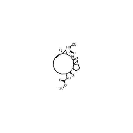 CC(C)(C)OC(=O)N[C@H]1CCCCC/C=C\[C@@H]2C[C@@]2(C(=O)NC#N)NC(=O)[C@@H]2CCCN2C1=O